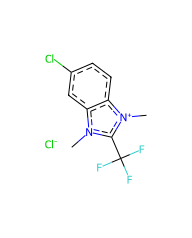 Cn1c(C(F)(F)F)[n+](C)c2ccc(Cl)cc21.[Cl-]